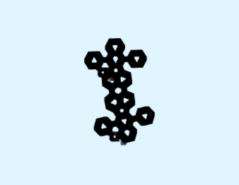 FC(F)(F)c1ccccc1-c1c2c(c(-c3ccccc3)c3ccccc13)-c1ccc3c4ccc5c6c(ccc(c7ccc-2c1c37)c64)-c1c-5c(-c2ccccc2)c2ccccc2c1-c1ccccc1C(F)(F)F